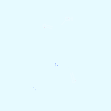 O=C(O)c1ccc(=O)n(C2CNC2)c1